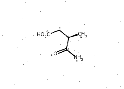 C[C@H](CC(=O)O)C(N)=O